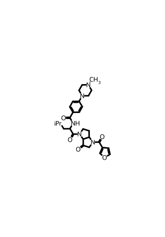 CC(C)CC(NC(=O)c1ccc(N2CCN(C)CC2)cc1)C(=O)N1CCC2C1C(=O)CN2C(=O)c1ccoc1